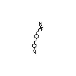 N#CC(F)=CCC[C@H]1CC[C@H](CCc2ccc(C#N)cc2)CC1